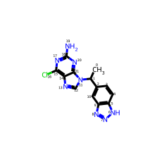 CC(c1ccc2[nH]nnc2c1)n1cnc2c(Cl)nc(N)nc21